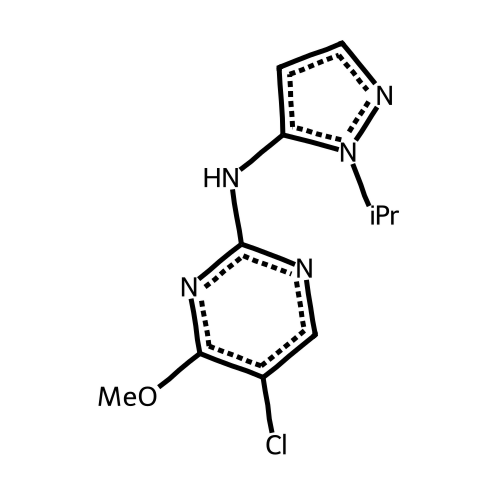 COc1nc(Nc2ccnn2C(C)C)ncc1Cl